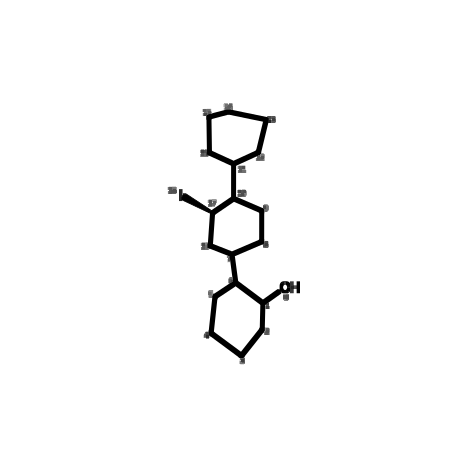 OC1CCCCC1C1CCC(C2CCCCC2)[C@H](I)C1